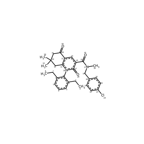 CCc1cccc(CC)c1-n1c2c(cc(C(=O)N(C)Cc3ccc(Cl)cc3)c1=O)C(=O)CC(C)(C)C2